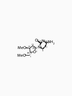 COC[C@H]1O[C@@H](n2ccc(N)nc2=O)CC1OC